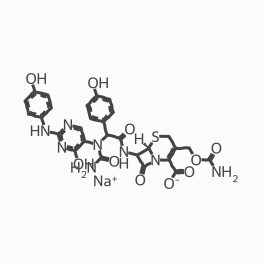 NC(=O)OCC1=C(C(=O)[O-])N2C(=O)C(NC(=O)C(c3ccc(O)cc3)N(C(N)=O)c3cnc(Nc4ccc(O)cc4)nc3O)[C@@H]2SC1.[Na+]